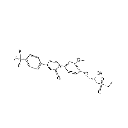 CCS(=O)(=O)CC(O)COc1ccc(-n2ccc(-c3ccc(C(F)(F)F)cc3)cc2=O)cc1OC